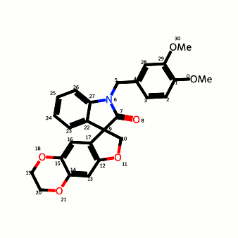 COc1ccc(CN2C(=O)C3(COc4cc5c(cc43)OCCO5)c3ccccc32)cc1OC